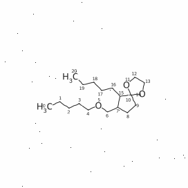 CCCCCOCC1CCC2(OCCO2)C1CCCCC